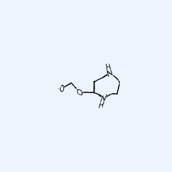 [O]COC1CNCCN1